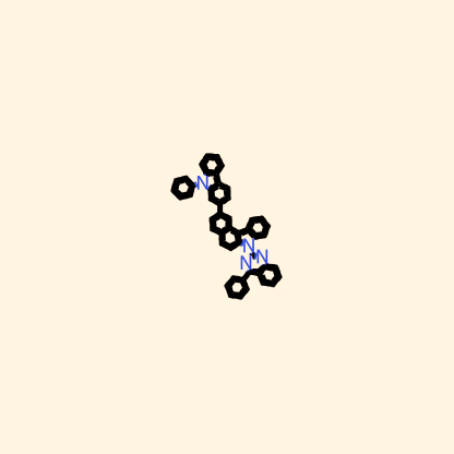 c1ccc(-c2nc(-n3c4ccccc4c4c5cc(-c6ccc7c8ccccc8n(-c8ccccc8)c7c6)ccc5ccc43)nc3ccccc23)cc1